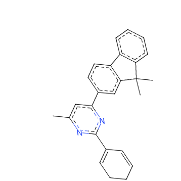 Cc1cc(-c2ccc3c(c2)C(C)(C)c2ccccc2-3)nc(C2=CCCC=C2)n1